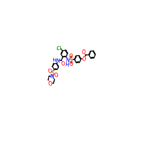 O=C(Oc1ccc(S(=O)(=O)Nc2ccc(Cl)cc2C(=O)Nc2ccc(S(=O)(=O)N3CCOCC3)cc2)cc1)c1ccccc1